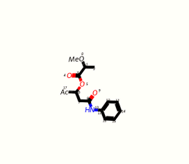 COC(C)C(=O)OC(CC(=O)Nc1ccccc1)C(C)=O